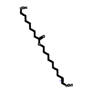 CCCCCCCC/C=C/CCCCCCCCOC(=O)CCCCCCCCCCCCCCCCC